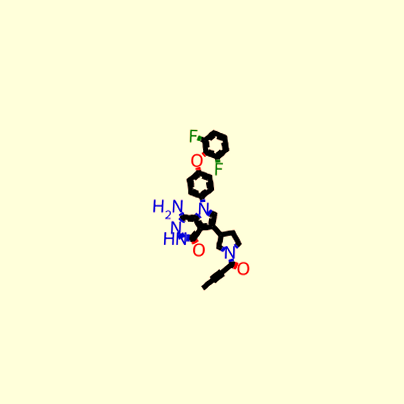 CC#CC(=O)N1CCC(c2cn(-c3ccc(Oc4c(F)cccc4F)cc3)c3c(N)n[nH]c(=O)c23)C1